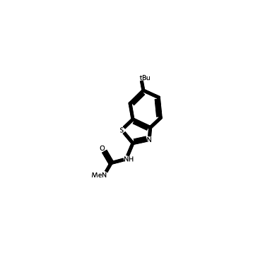 CNC(=O)Nc1nc2ccc(C(C)(C)C)cc2s1